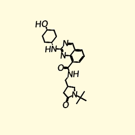 CC(C)(C)N1CC(CNC(=O)c2cccc3cnc(N[C@H]4CC[C@H](O)CC4)nc23)CC1=O